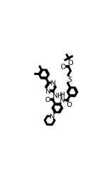 Cc1ccc(-c2cnc(NC(=O)c3cc(N4CCCCC4)ccc3NC(=O)c3cccc(CSCCC(=O)OC(C)(C)C)c3)cn2)cc1C